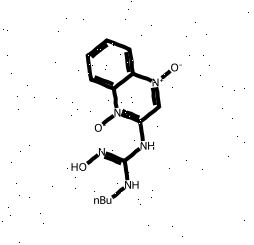 CCCCNC(=NO)Nc1c[n+]([O-])c2ccccc2[n+]1[O-]